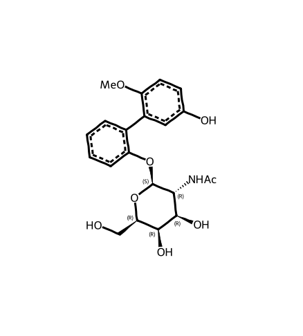 COc1ccc(O)cc1-c1ccccc1O[C@@H]1O[C@H](CO)[C@H](O)[C@H](O)[C@H]1NC(C)=O